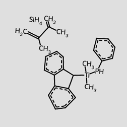 C=C(C)C(=C)C.[CH3][Ti]([CH3])([PH]c1ccccc1)[CH]1c2ccccc2-c2ccccc21.[SiH4]